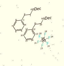 CCCCCCCCCCCCc1ccccc1.CCCCCCCCCCCCc1ccccc1.[F][Sb-]([F])([F])([F])([F])[F]